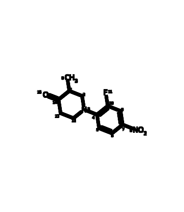 CC1CN(c2ccc([N+](=O)[O-])cc2F)CCC1=O